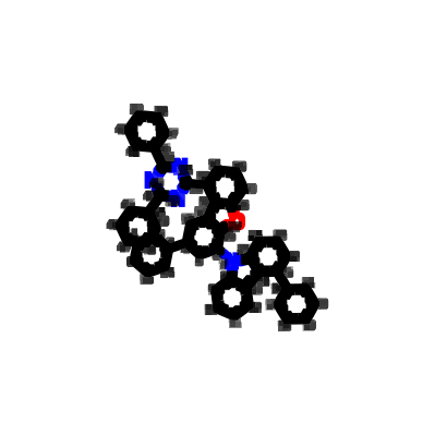 c1ccc(-c2cc(-n3c4ccccc4c4c(-c5ccccc5)cccc43)c3oc4cccc(-c5nc(-c6ccccc6)nc(-c6ccccc6)n5)c4c3c2)cc1